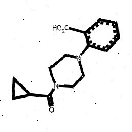 O=C(O)c1ccccc1N1CCN(C(=O)C2CC2)CC1